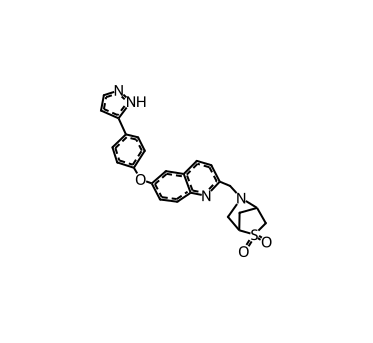 O=S1(=O)CC2CC1CN2Cc1ccc2cc(Oc3ccc(-c4ccn[nH]4)cc3)ccc2n1